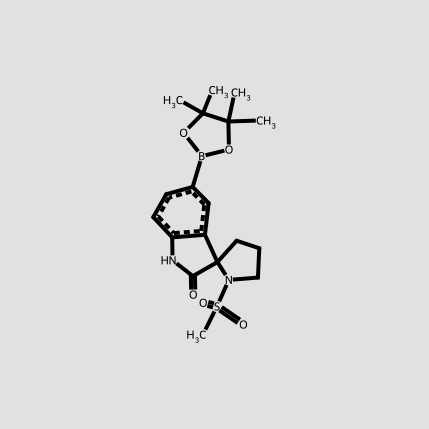 CC1(C)OB(c2ccc3c(c2)C2(CCCN2S(C)(=O)=O)C(=O)N3)OC1(C)C